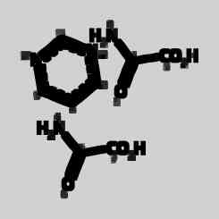 NC(=O)C(=O)O.NC(=O)C(=O)O.c1cncnc1